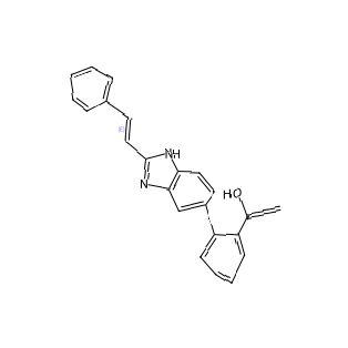 C=C(O)c1ccccc1-c1ccc2[nH]c(/C=C/c3ccccc3)nc2c1